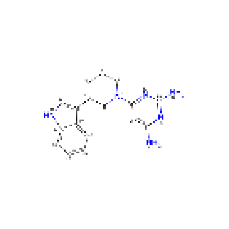 Nc1cc(N2CCCC(c3c[nH]c4ccccc34)C2)nc(N)n1